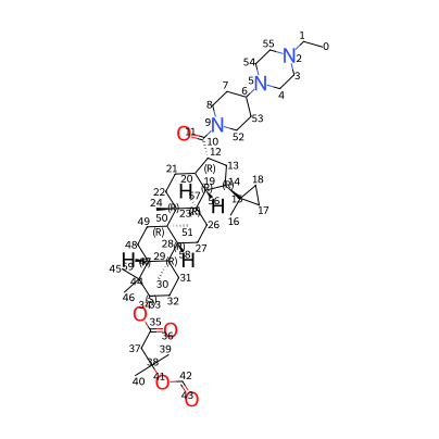 CCN1CCN(C2CCN(C(=O)[C@@H]3C[C@@H](C4(C)CC4)[C@H]4C3CC[C@]3(C)[C@@H]4CC[C@@H]4[C@@]5(C)CC[C@H](OC(=O)CC(C)(C)OC=O)C(C)(C)[C@@H]5CC[C@]43C)CC2)CC1